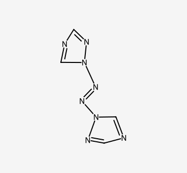 c1ncn(N=Nn2cncn2)n1